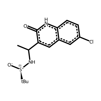 CC(N[S@+]([O-])C(C)(C)C)c1cc2cc(Cl)ccc2[nH]c1=O